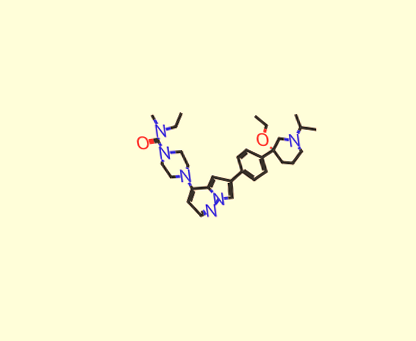 CCO[C@@]1(c2ccc(-c3cc4c(N5CCN(C(=O)N(C)CC)CC5)ccnn4c3)cc2)CCCN(C(C)C)C1